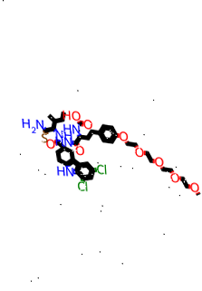 CCC(C)C(NC(=O)C1(NC(=O)C(CCc2ccc(OCCOCCOCCOCCOC)cc2)NC(=O)O)CCc2[nH]c3c(Cl)cc(Cl)cc3c2C1)C(N)=S